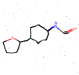 O=CNC1CCC(C2CCCO2)CC1